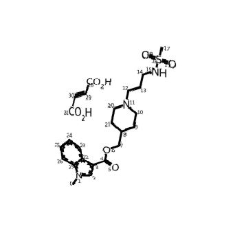 Cn1cc(C(=O)OCC2CCN(CCCNS(C)(=O)=O)CC2)c2ccccc21.O=C(O)C=CC(=O)O